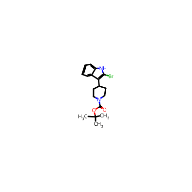 CC(C)(C)OC(=O)N1CCC(c2c(Br)[nH]c3ccccc23)CC1